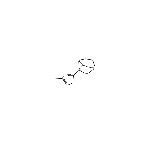 CCc1nsc(C2CN3CCC2CC3)n1